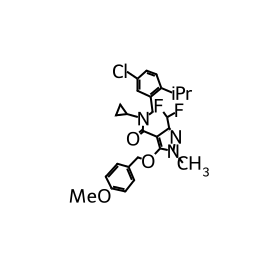 COc1ccc(COc2c(C(=O)N(Cc3cc(Cl)ccc3C(C)C)C3CC3)c(C(F)F)nn2C)cc1